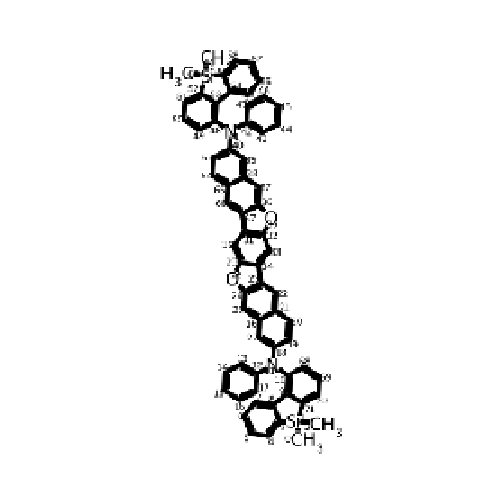 C[Si]1(C)c2ccccc2-c2c(N(c3ccccc3)c3ccc4cc5c(cc4c3)oc3cc4c(cc35)oc3cc5cc(N(c6ccccc6)c6cccc7c6-c6ccccc6[Si]7(C)C)ccc5cc34)cccc21